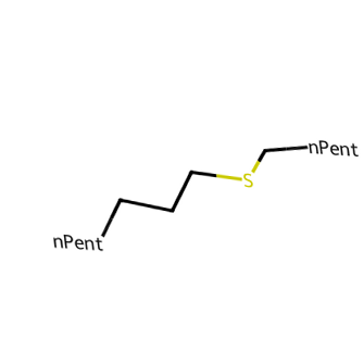 CCCCCCCCSCCCCCC